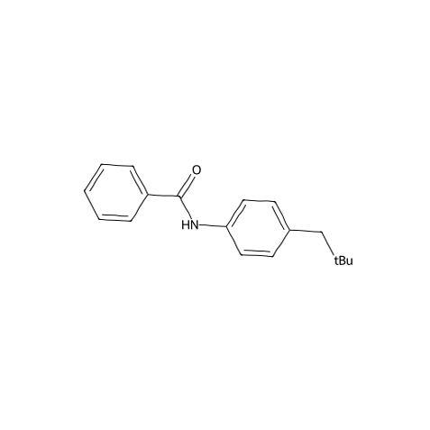 CC(C)(C)Cc1ccc(NC(=O)c2ccccc2)cc1